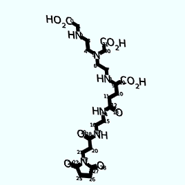 O=C(O)CNCCN(CCNC(CCC(=O)NCCNC(=O)CCN1C(=O)C=CC1=O)C(=O)O)CC(=O)O